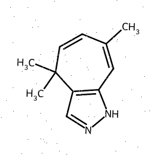 CC1=Cc2[nH]ncc2C(C)(C)C=C1